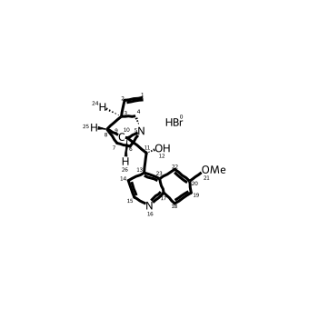 Br.C=C[C@H]1C[N@]2CC[C@H]1C[C@H]2[C@H](O)c1ccnc2ccc(OC)cc12